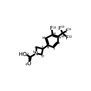 O=C(O)N1CC(c2ccc(C(F)(F)F)c(F)c2)C1